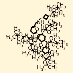 CN(C(=O)OC(C)(C)C)[C@@H]1[C@@H](O)[C@@H](O[C@H]2[C@H](NC(=O)OC(C)(C)C)C[C@H](NC(=O)OC(C)(C)C)C([C@H]3OC(CNC[C@H]4C[C@H](NC(=O)OC(C)(C)C)C4)=CC[C@H]3N/C(=N/C(=O)OC(C)(C)C)NC(=O)OC(C)(C)C)[C@@H]2O)OC[C@]1(C)O